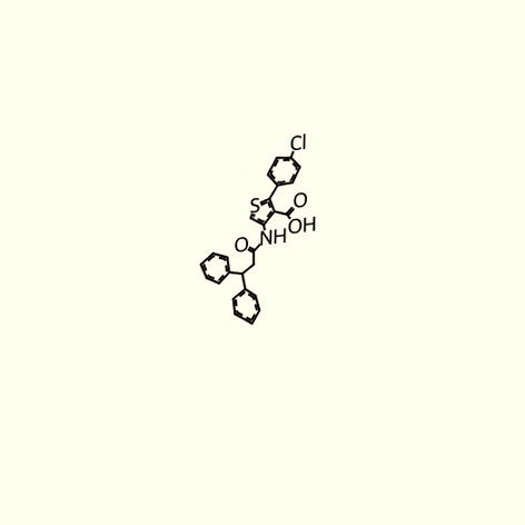 O=C(CC(c1ccccc1)c1ccccc1)Nc1csc(-c2ccc(Cl)cc2)c1C(=O)O